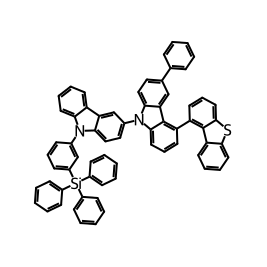 c1ccc(-c2ccc3c(c2)c2c(-c4cccc5sc6ccccc6c45)cccc2n3-c2ccc3c(c2)c2ccccc2n3-c2cccc([Si](c3ccccc3)(c3ccccc3)c3ccccc3)c2)cc1